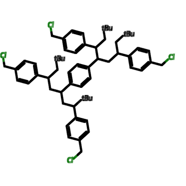 CC(C)(C)CC(CC(CC(c1ccc(CCl)cc1)C(C)(C)C)c1ccc(C(CC(CC(C)(C)C)c2ccc(CCl)cc2)C(CC(C)(C)C)c2ccc(CCl)cc2)cc1)c1ccc(CCl)cc1